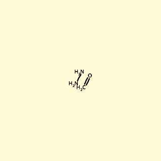 C=O.NN